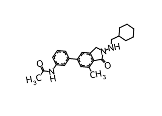 CC(=O)Nc1cccc(-c2cc(C)c3c(c2)CN(NCC2CCCCC2)C3=O)c1